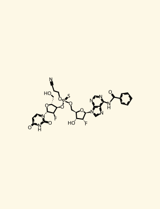 N#CCCOP(=S)(OC[C@H]1O[C@@H](n2cnc3c(NC(=O)c4ccccc4)ncnc32)[C@H](F)[C@@H]1O)O[C@H]1[C@@H](F)[C@H](n2ccc(=O)[nH]c2=O)O[C@@H]1CO